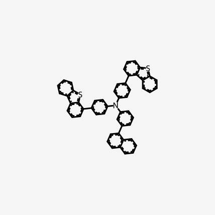 c1cc(-c2cccc3ccccc23)cc(N(c2ccc(-c3cccc4c3sc3ccccc34)cc2)c2ccc(-c3cccc4sc5ccccc5c34)cc2)c1